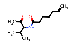 C=CCCCCC(=O)N[C@H](C(C)=O)C(C)C